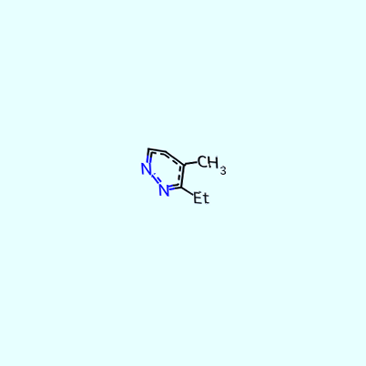 CCc1nnccc1C